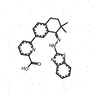 CC1(C)CCc2ccc(-c3cccc(C(=O)O)n3)cc2C1=NNc1nc2ccccc2s1